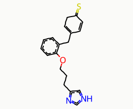 S=C1C=CC(Cc2ccccc2OCCCc2c[nH]cn2)=CC1